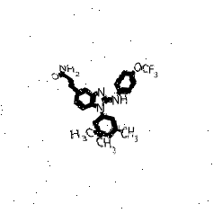 C[C@@H]1C[C@H](n2c(Nc3ccc(OC(F)(F)F)cc3)nc3cc(C=CC(N)=O)ccc32)CC(C)(C)C1